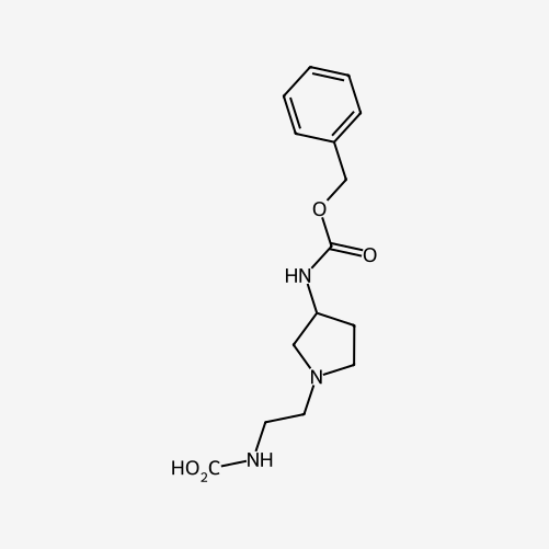 O=C(O)NCCN1CCC(NC(=O)OCc2ccccc2)C1